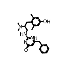 Cc1cc(O)cc(C)c1CC(CNc1nc(=O)cc(Cc2ccccc2)[nH]1)N(C)C